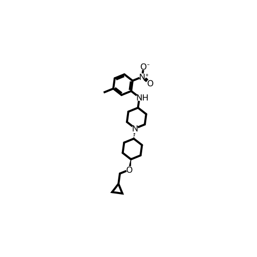 Cc1ccc([N+](=O)[O-])c(NC2CCN([C@H]3CC[C@H](OCC4CC4)CC3)CC2)c1